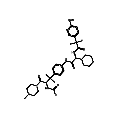 CCC(=O)N[C@@H](C(=O)N1CCN(C)CC1)C(C)(C)c1ccc(NC(=O)[C@@H](NC(=O)C(F)(F)c2ccc(OC)nc2)C2CCCCC2)cc1